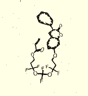 C=CC(=O)OCCC(F)(F)OC(F)(F)OC(F)(F)CCOc1ccc2cc(-c3ccccc3)c(=O)oc2c1